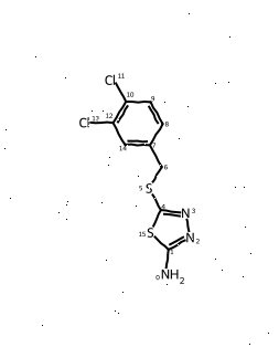 Nc1nnc(SCc2ccc(Cl)c(Cl)c2)s1